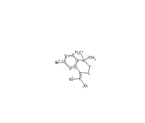 CCC(CC)=C1CCC(C)(C)c2ccc(Br)cc21